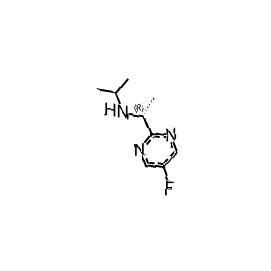 CC(C)N[C@H](C)c1ncc(F)cn1